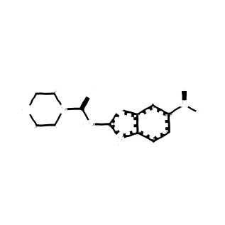 O=C(Nc1nc2ccc([N+](=O)[O-])cc2s1)N1CCOCC1